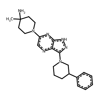 CC1(N)CCN(c2cnc3c(N4CCCC(c5ccccc5)C4)n[nH]c3n2)CC1